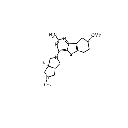 COC1CCc2sc3c(N4CC5CN(C)C[C@H]5C4)nc(N)nc3c2C1